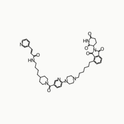 O=C(/C=C/c1cccnc1)NCCCCC1CCN(C(=O)c2ccc(N3CCN(CCCCCCc4cccc5c4C(=O)N(C4CCC(=O)NC4=O)C5=O)CC3)nc2)CC1